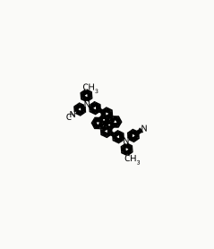 [C-]#[N+]c1ccc(N(c2ccc(C)cc2)c2ccc(-c3cccc4c3-c3ccccc3C43c4ccccc4-c4c(-c5ccc(N(c6ccc(C)cc6)c6ccc(C#N)cc6)cc5)cccc43)cc2)cc1